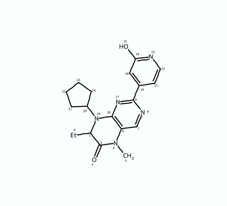 CCC1C(=O)N(C)c2cnc(-c3ccnc(O)c3)nc2N1C1CCCC1